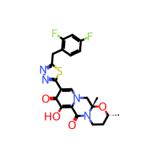 C[C@@H]1CCN2C(=O)c3c(O)c(=O)c(-c4nnc(Cc5ccc(F)cc5F)s4)cn3C[C@]2(C)O1